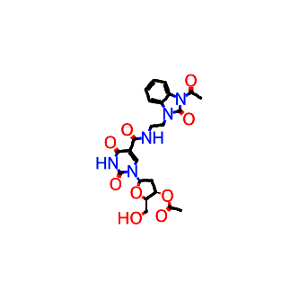 CC(=O)O[C@H]1C[C@H](n2cc(C(=O)NCCn3c(=O)n(C(C)=O)c4ccccc43)c(=O)[nH]c2=O)O[C@@H]1CO